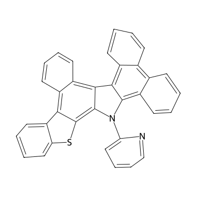 c1ccc(-n2c3c4ccccc4c4ccccc4c3c3c4ccccc4c4c5ccccc5sc4c32)nc1